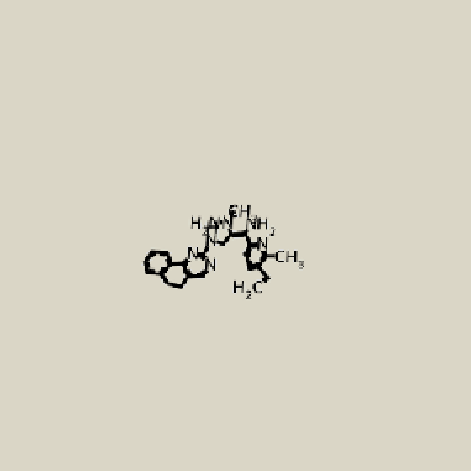 C=Cc1ccc(/C(N)=C(\CNc2ncc3c(n2)-c2ccccc2CC3)N(C)N)nc1C